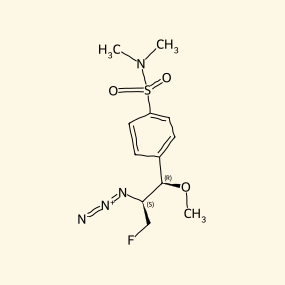 CO[C@H](c1ccc(S(=O)(=O)N(C)C)cc1)[C@@H](CF)N=[N+]=[N-]